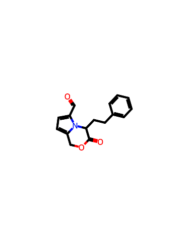 O=Cc1ccc2n1C(CCc1ccccc1)C(=O)OC2